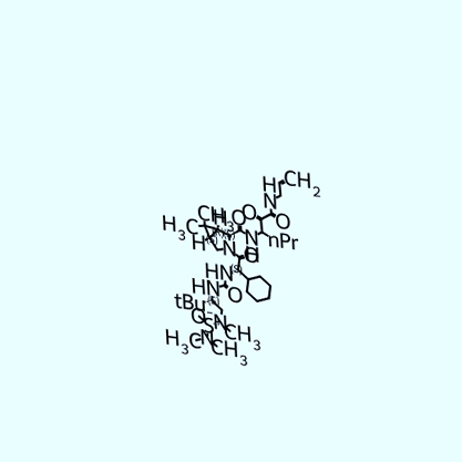 C=CCNC(=O)C(=O)C(CCC)NC(=O)[C@@H]1[C@@H]2[C@H](CN1C(=O)[C@@H](NC(=O)N[C@H](CN(C)[S+]([O-])N(C)C)C(C)(C)C)C1CCCCC1)C2(C)C